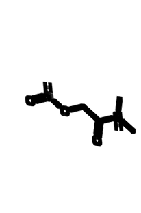 C[SiH](C)C(=O)CO[SiH]=O